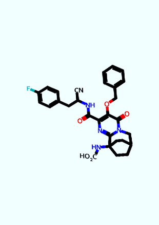 N#CC(Cc1ccc(F)cc1)NC(=O)c1nc2n(c(=O)c1OCc1ccccc1)CC1CCC2(NC(=O)O)CC1